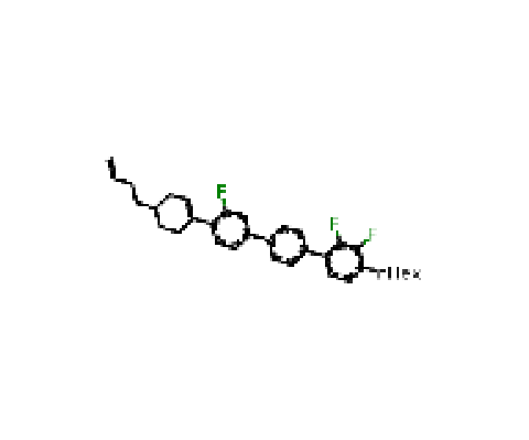 C=CCCC1CC=C(c2ccc(-c3ccc(-c4ccc(CCCCCC)c(F)c4F)cc3)cc2F)CC1